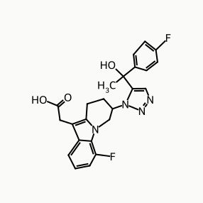 CC(O)(c1ccc(F)cc1)c1cnnn1C1CCc2c(CC(=O)O)c3cccc(F)c3n2C1